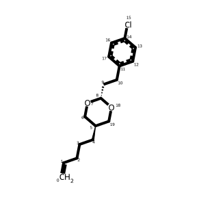 C=CCCC[C@H]1CO[C@H](CCc2ccc(Cl)cc2)OC1